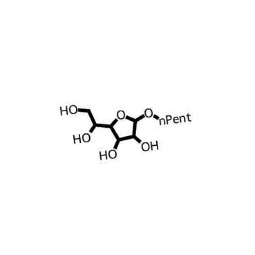 CCCCCOC1OC(C(O)CO)C(O)C1O